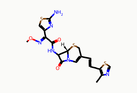 CON=C(C(=O)NC1C(=O)N2C=C(C=Cc3scnc3C)CS[C@@H]12)c1csc(N)n1